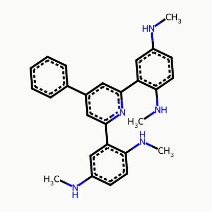 CNc1ccc(NC)c(-c2cc(-c3ccccc3)cc(-c3cc(NC)ccc3NC)n2)c1